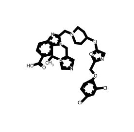 CCn1cncc1Cn1c(CN2CCC(Oc3cnc(COc4ccc(Cl)cc4Cl)o3)CC2)nc2ccc(C(=O)O)cc21